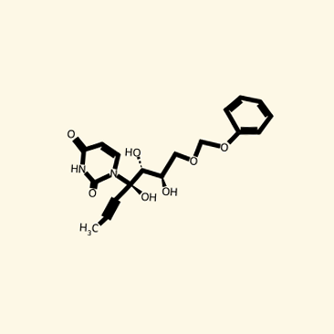 CC#C[C@@](O)([C@H](O)[C@H](O)COCOc1ccccc1)n1ccc(=O)[nH]c1=O